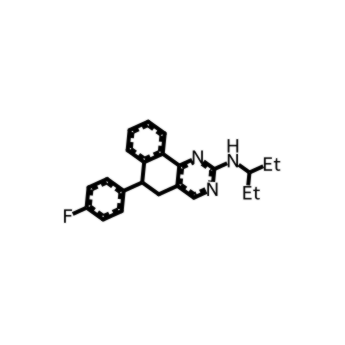 CCC(CC)Nc1ncc2c(n1)-c1ccccc1C(c1ccc(F)cc1)C2